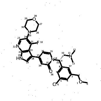 COCc1cc(Cl)cc([C@@H](CN(C)C)n2ccc(-c3c[nH]c4ncc(N5CCOCC5)c(F)c34)cc2=O)c1